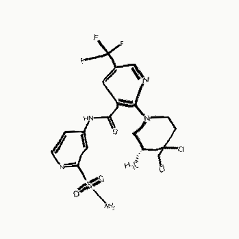 C[C@@H]1CN(c2ncc(C(F)(F)F)cc2C(=O)Nc2ccnc(S(N)(=O)=O)c2)CCC1(Cl)Cl